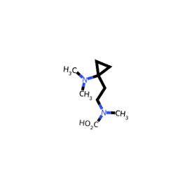 CN(CCC1(N(C)C)CC1)C(=O)O